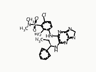 CC[C@@H](Nc1nc2c(nc1Nc1ccc(Cl)c(S(=O)(=O)N(C)C)c1O)=NCN=2)c1ccccc1